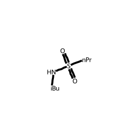 CCCS(=O)(=O)NC(C)CC